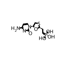 Nc1ccn([C@H]2CS[C@@H](CC=P(O)(O)O)O2)c(=O)n1